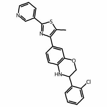 Cc1sc(-c2cccnc2)nc1-c1ccc2c(c1)OCC(c1ccccc1Cl)N2